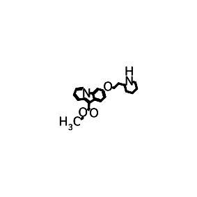 CCOC(=O)c1c2ccc(OCCC3CCCCN3)cc2n2ccccc12